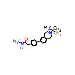 CNC(=O)Cc1ccc(-c2ccc3c(c2)CCN(C(C)(C)C)CC3)cc1